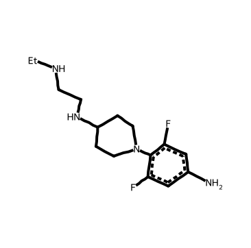 CCNCCNC1CCN(c2c(F)cc(N)cc2F)CC1